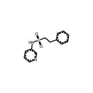 O=S(=O)(CCc1ccccc1)Nc1cccnc1